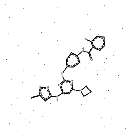 Cc1cc(Nc2cc(N3CCC3)nc(Sc3ccc(NC(=O)c4ccccc4F)cc3)n2)[nH]n1